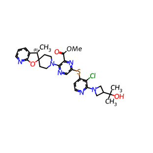 COC(=O)c1nc(Sc2ccnc(N3CC(C(C)(C)O)C3)c2Cl)cnc1N1CCC2(CC1)Oc1ncccc1[C@H]2C